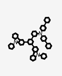 c1ccc(-c2ccc(N(c3ccc(-c4ccccc4)cc3)c3cccc(-c4cc(-c5ccc6c(c5)c5ccccc5n6-c5ccccc5)cc(-c5ccc6c(c5)c5ccccc5n6-c5ccccc5)c4)c3)cc2)cc1